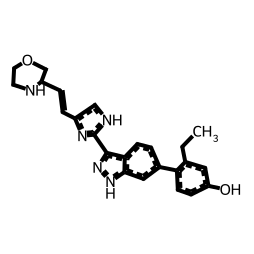 CCc1cc(O)ccc1-c1ccc2c(-c3nc(/C=C/C4COCCN4)c[nH]3)n[nH]c2c1